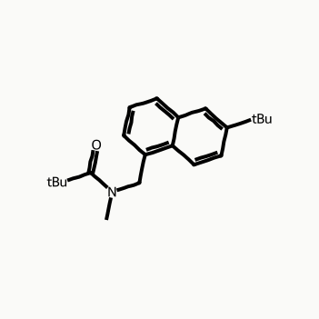 CN(Cc1cccc2cc(C(C)(C)C)ccc12)C(=O)C(C)(C)C